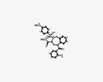 COC(=O)C1CN(C(=O)c2ccccc2Cl)c2ccccc2CN1S(=O)(=O)c1ccc(OC)cc1